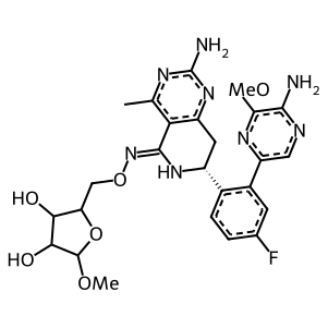 COc1nc(-c2cc(F)ccc2[C@H]2Cc3nc(N)nc(C)c3/C(=N/OCC3OC(OC)C(O)C3O)N2)cnc1N